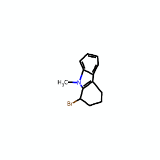 Cn1c2c(c3ccccc31)CCCC2Br